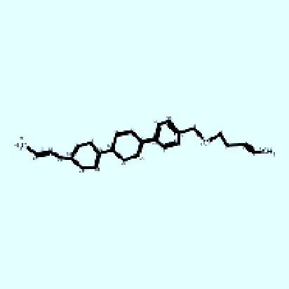 CC=CCCOCc1ccc(C2CCC(C3CCC(C/C=C/C)CC3)CC2)cc1